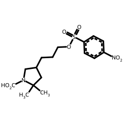 CC1(C)CC(CCCOS(=O)(=O)c2ccc([N+](=O)[O-])cc2)CN1C(=O)O